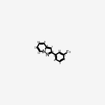 Fc1cccc(-c2cc3ccccn3n2)c1